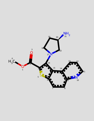 COC(=O)c1sc2ccc3ncccc3c2c1N1CC[C@@H](N)C1